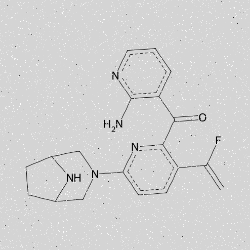 C=C(F)c1ccc(N2CC3CCC(C2)N3)nc1C(=O)c1cccnc1N